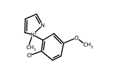 COc1ccc(Cl)c([N+]2(C)C=CC=N2)c1